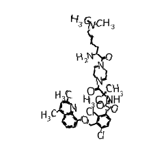 Cc1cc(C)c2cccc(OCc3c(Cl)ccc(S(=O)(=O)NC(C)(C)C(=O)N4CCN(C(=O)C(N)CCCCN(C)C)CC4)c3Cl)c2n1